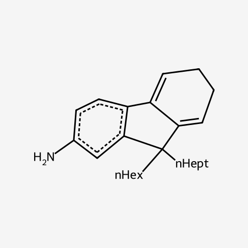 CCCCCCCC1(CCCCCC)C2=CCCC=C2c2ccc(N)cc21